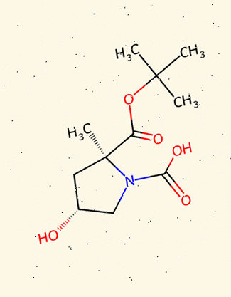 CC(C)(C)OC(=O)[C@]1(C)C[C@@H](O)CN1C(=O)O